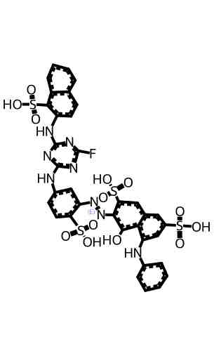 O=S(=O)(O)c1cc(Nc2ccccc2)c2c(O)c(/N=N/c3cc(Nc4nc(F)nc(Nc5ccc6ccccc6c5S(=O)(=O)O)n4)ccc3S(=O)(=O)O)c(S(=O)(=O)O)cc2c1